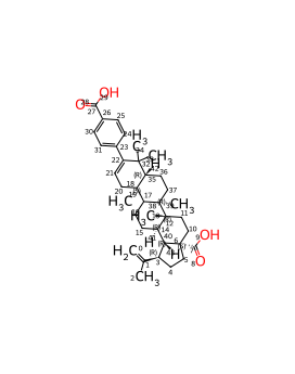 C=C(C)[C@@H]1CC[C@]2(C(=O)O)CC[C@]3(C)[C@H](CCC4[C@@]5(C)CC=C(c6ccc(C(=O)O)cc6)C(C)(C)[C@@H]5CC[C@]43C)[C@@H]12